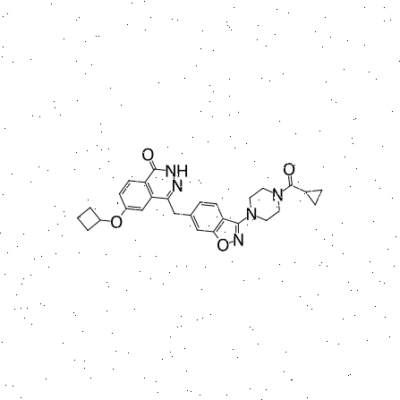 O=C(C1CC1)N1CCN(c2noc3cc(Cc4n[nH]c(=O)c5ccc(OC6CCC6)cc45)ccc23)CC1